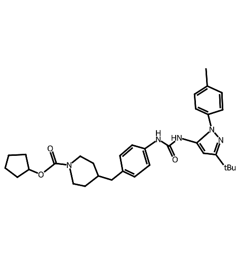 Cc1ccc(-n2nc(C(C)(C)C)cc2NC(=O)Nc2ccc(CC3CCN(C(=O)OC4CCCC4)CC3)cc2)cc1